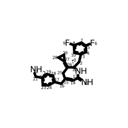 C[C@]1(Cc2cc(F)cc(F)c2)NC(=N)C=C(Cc2ccc(CN)cc2)CC1=C1CC1